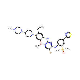 CCc1cc(Nc2ncc(Br)c(Nc3ccc(-c4cscn4)cc3P(C)(C)=O)n2)c(OC)cc1N1CCC(N2CCN(C)CC2)CC1